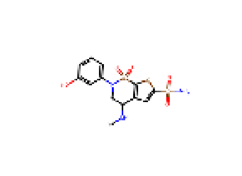 CCNC1CN(c2cccc(O)c2)S(=O)(=O)c2sc(S(N)(=O)=O)cc21